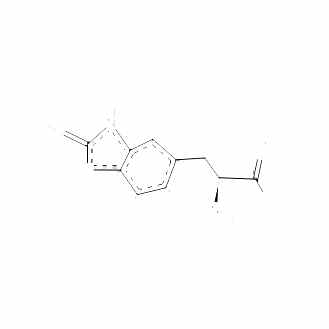 N[C@@H](Cc1ccc2oc(=O)[nH]c2c1)C(=O)O